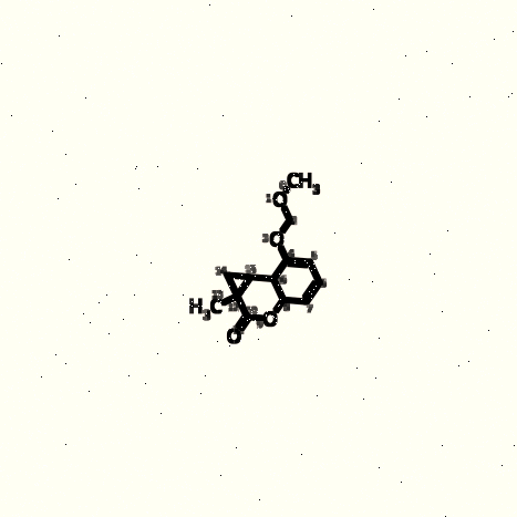 COCOC1=CC=CC2OC(=O)C3(C)CC3C12